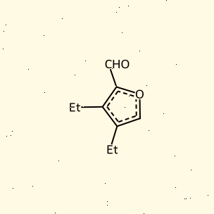 CCc1coc(C=O)c1CC